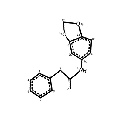 CC(Cc1ccccc1)Nc1ccc2c(c1)OCO2